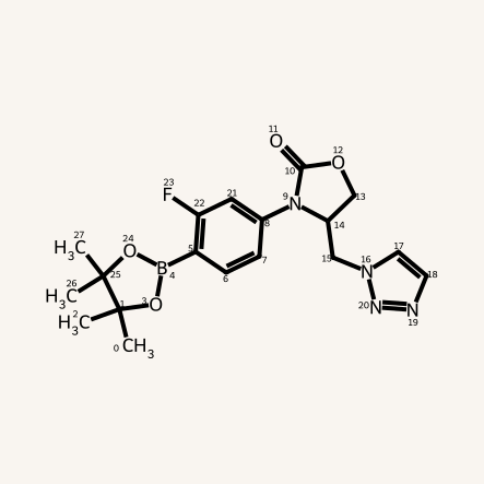 CC1(C)OB(c2ccc(N3C(=O)OCC3Cn3ccnn3)cc2F)OC1(C)C